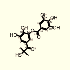 CC(C)(S)C(=O)c1cc(O)c(O)c(OC(=O)c2cc(O)c(O)c(O)c2)c1